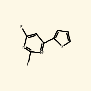 FC1=CC(c2cccs2)=[N+]C(F)=N1